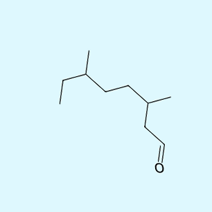 CCC(C)CCC(C)CC=O